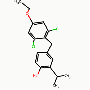 CCOc1cc(Cl)c(Cc2ccc(O)c(C(C)C)c2)c(Cl)c1